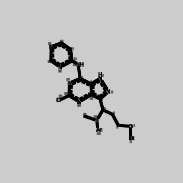 CCOCCC(c1n[nH]c2c(Nc3ccncn3)nc(Cl)nc12)N(C)C(C)=O